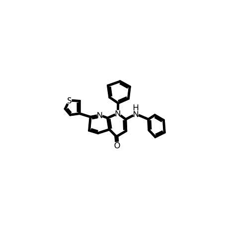 O=c1cc(Nc2ccccc2)n(-c2ccccc2)c2nc(-c3ccsc3)ccc12